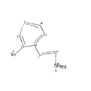 C[CH]c1ccccc1/C=C/CCCCC